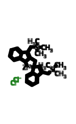 C[Si](C)(C)CC1=C[C]2(CC3=C(C[Si](C)(C)C)c4ccccc4[CH]3[Zr+2]2)c2ccccc21.[Cl-].[Cl-]